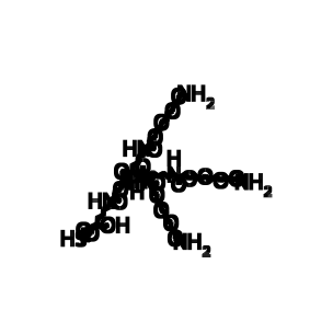 CP(=O)(S)OCC(CO)CCCCNC(=O)COCNC(=O)C(CCCCNC(=O)COCCOCCOCCON)NC(=O)C(CCCCNC(=O)COCCOCCOCCON)NC(=O)COCCOCCOCCON